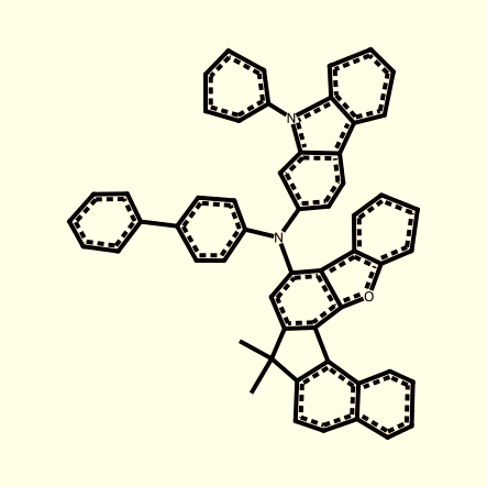 CC1(C)c2ccc3ccccc3c2-c2c1cc(N(c1ccc(-c3ccccc3)cc1)c1ccc3c4ccccc4n(-c4ccccc4)c3c1)c1c2oc2ccccc21